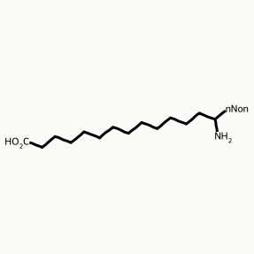 CCCCCCCCCC(N)CCCCCCCCCCCCC(=O)O